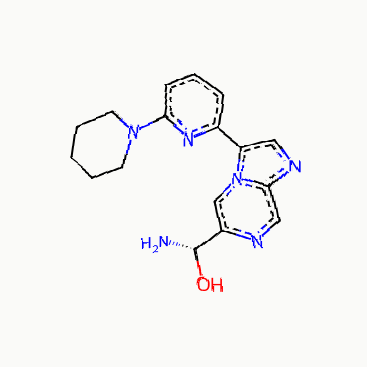 N[C@@H](O)c1cn2c(-c3cccc(N4CCCCC4)n3)cnc2cn1